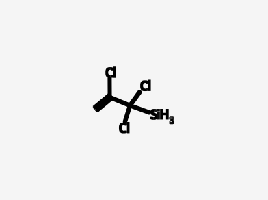 C=C(Cl)C([SiH3])(Cl)Cl